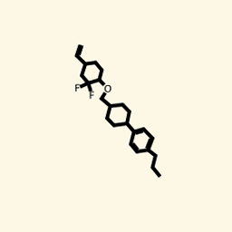 C=CC1CCC(OCC2CCC(c3ccc(CCC)cc3)CC2)C(F)(F)C1